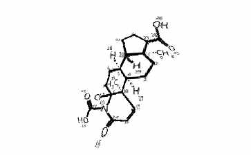 C[C@]12CC[C@@H]3[C@@H](CCC4(Cl)N(C(=O)O)C(=O)C=C[C@]34C)[C@@H]1CCC2C(=O)O